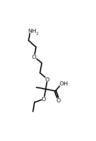 CCOC(C)(OCCOCCN)C(=O)O